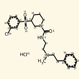 CN(CCNC(=O)N1CCCC(S(=O)(=O)c2cccc(Cl)c2)C1)CCc1ccccc1.Cl